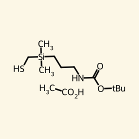 CC(=O)O.CC(C)(C)OC(=O)NCCC[Si](C)(C)CS